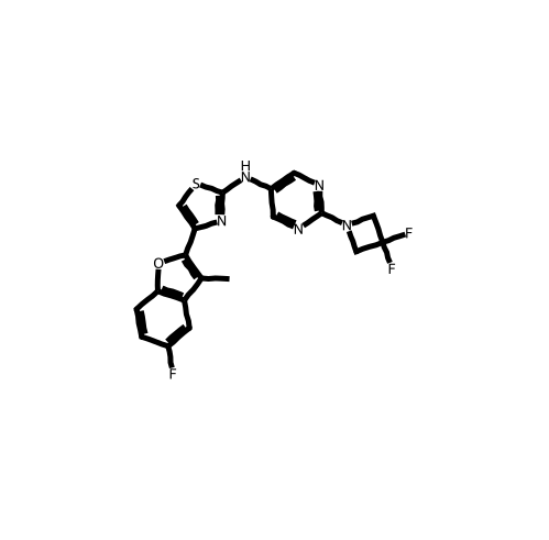 Cc1c(-c2csc(Nc3cnc(N4CC(F)(F)C4)nc3)n2)oc2ccc(F)cc12